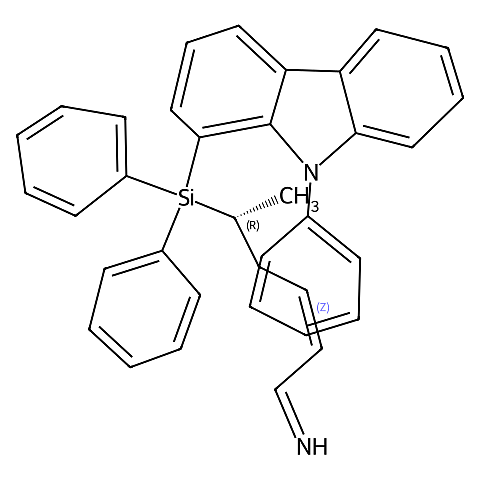 C[C@H](C/C=C\C=N)[Si](c1ccccc1)(c1ccccc1)c1cccc2c3ccccc3n(-c3ccccc3)c12